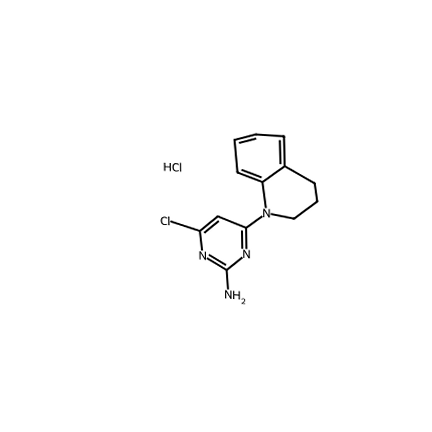 Cl.Nc1nc(Cl)cc(N2CCCc3ccccc32)n1